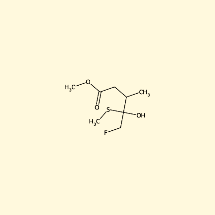 COC(=O)CC(C)C(O)(CF)SC